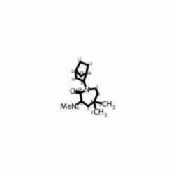 CNC1CC(C)(C)CCN(C2CC3CCC2C3)C1=O